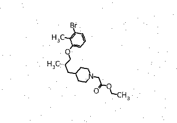 CCOC(=O)CN1CCC(C[C@H](C)COc2cccc(Br)c2C)CC1